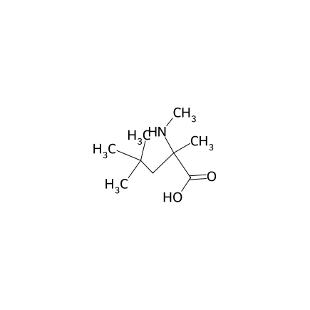 CNC(C)(CC(C)(C)C)C(=O)O